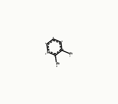 CC(C)c1bcccc1C(C)C